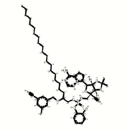 CCCCCCCCCCCCCCCCCCCCC(COP(=O)(OC[C@@]1(C#N)OC(c2ccc3c(N)ncnn23)[C@@H]2OC(C)(C)O[C@@H]21)Oc1ccccc1Cl)OCc1cc(F)cc(C#N)c1